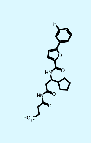 O=C(O)CCC(=O)NC(=O)CC(NC(=O)c1ccc(-c2cccc(F)c2)o1)C1CCCC1